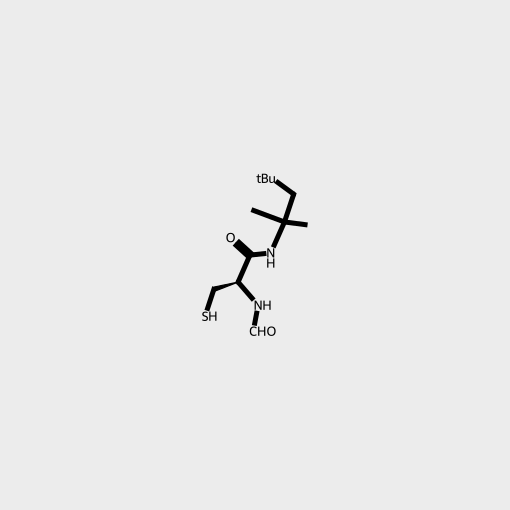 CC(C)(C)CC(C)(C)NC(=O)[C@H](CS)NC=O